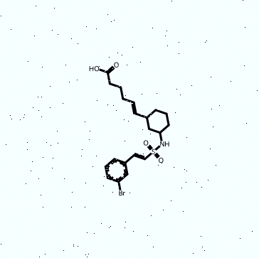 O=C(O)CCCC=CC1CCCC(NS(=O)(=O)C=Cc2cccc(Br)c2)C1